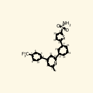 Cc1cc(-c2ccc(C(F)(F)F)cc2)cc(-c2cccc(-c3ccc(S(N)(=O)=O)s3)c2)n1